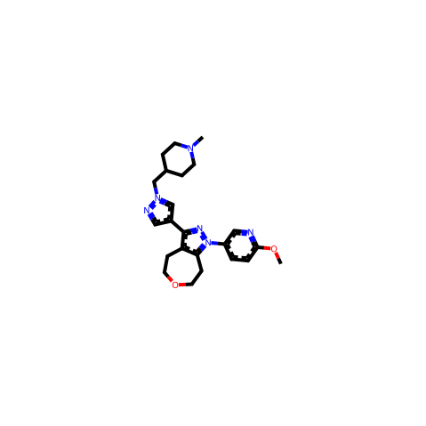 COc1ccc(-n2nc(-c3cnn(CC4CCN(C)CC4)c3)c3c2CCOCC3)cn1